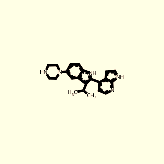 CC(C)c1c(-c2ccnc3[nH]ccc23)[nH]c2ccc(N3CCNCC3)cc12